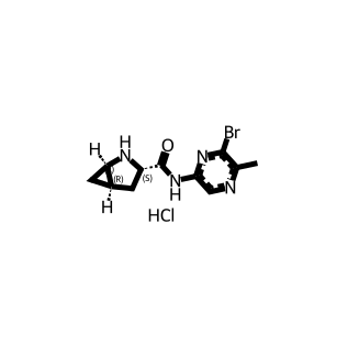 Cc1ncc(NC(=O)[C@@H]2C[C@H]3C[C@H]3N2)nc1Br.Cl